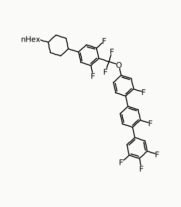 CCCCCCC1CCC(c2cc(F)c(C(F)(F)Oc3ccc(-c4ccc(-c5cc(F)c(F)c(F)c5)c(F)c4)c(F)c3)c(F)c2)CC1